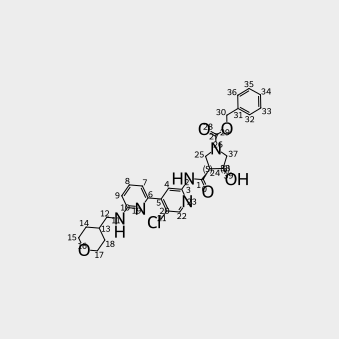 O=C(Nc1cc(-c2cccc(NCC3CCOCC3)n2)c(Cl)cn1)[C@H]1CN(C(=O)OCc2ccccc2)C[C@H]1O